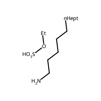 CCCCCCCCCCCCN.CCOS(=O)(=O)O